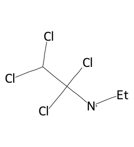 CC[N]C(Cl)(Cl)C(Cl)Cl